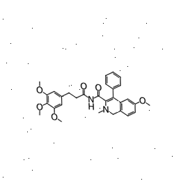 COc1ccc2c(c1)C(c1ccccc1)=C(C(=O)NC(=O)CCc1cc(OC)c(OC)c(OC)c1)N(C)C2